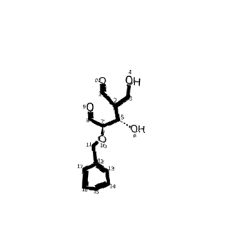 O=CC(CO)[C@H](O)[C@H](C=O)OCc1ccccc1